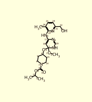 COC1(OC2CCN(C(=O)OC(C)C)CC2)C=C(Nc2nc(CO)ccc2C)N=CN1